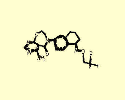 Nc1ncnc2c1C(=O)N(c1ccc3c(c1)CCCC3=NOCC(F)(F)F)CCO2